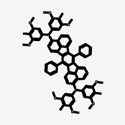 COc1cc(N(c2cc(OC)c(C)c(OC)c2)c2ccc3c4c(-c5ccccc5)c5c6ccc(N(c7cc(OC)c(C)c(OC)c7)c7cc(OC)c(C)c(OC)c7)c7cccc(c5c(-c5ccccc5)c4c4cccc2c43)c76)cc(OC)c1C